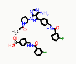 C=CC(=O)N1CCC[C@@H](n2nc(-c3ccc(CNC(=O)c4cccc(F)c4)cc3)c3c(N)ncnc32)C1.O=C(NCc1ccc(B(O)O)cc1)c1cccc(F)c1